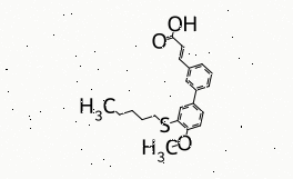 CCCCCSc1cc(-c2cccc(/C=C/C(=O)O)c2)ccc1OC